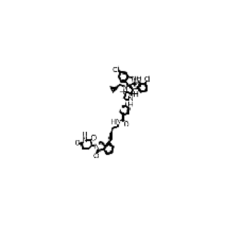 C=C(/C=C\C(=C/C)C(=O)NCCC#Cc1cccc2c1CN(C1CCC(=O)NC1=O)C2=O)[C@H]1C[C@H]2[C@@H](N1)[C@H](c1cccc(Cl)c1F)[C@]1(C(=O)Nc3cc(Cl)ccc31)N2CC1CC1